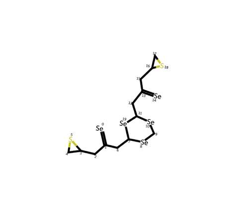 [Se]=C(CC1CS1)CC1[Se]C[Se]C(CC(=[Se])CC2CS2)[Se]1